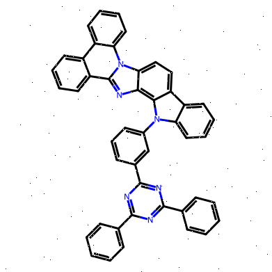 c1ccc(-c2nc(-c3ccccc3)nc(-c3cccc(-n4c5ccccc5c5ccc6c(nc7c8ccccc8c8ccccc8n67)c54)c3)n2)cc1